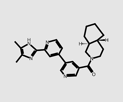 Cc1nc(-c2cc(-c3cncc(C(=O)N4CC[C@H]5CCCC[C@@H]5C4)c3)ccn2)[nH]c1C